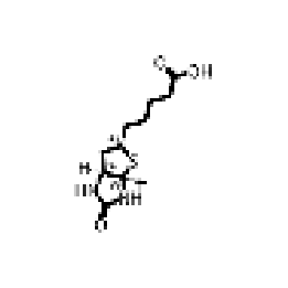 O=C(O)CCCC[C@@H]1C[C@@H]2NC(=O)N[C@@H]2S1